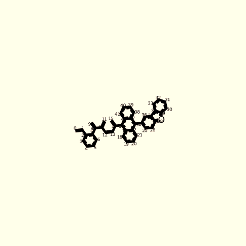 C=Cc1ccccc1C(=C)C(=C)/C=C\C(=C)c1c2ccccc2c(-c2ccc3oc4ccccc4c3c2)c2ccccc12